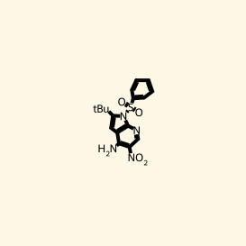 CC(C)(C)c1cc2c(N)c([N+](=O)[O-])cnc2n1S(=O)(=O)c1ccccc1